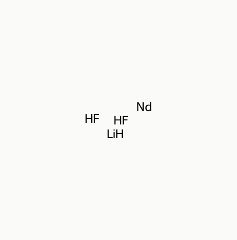 F.F.[LiH].[Nd]